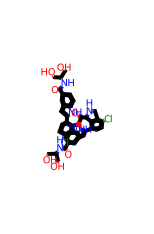 O=C(NC(CO)CO)c1ccc2[nH]c(-c3ccc(Cl)c4c3C(C(=O)C3NCc5c(Cl)ccc(-c6cc7cc(C(=O)NC(CO)CO)ccc7[nH]6)c53)NC4)cc2c1